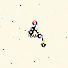 COc1ccc2ncc(CN3CCOCC3)c([C@H](F)CCC3(C(=O)O)CCN(CCSC4CCCC4)CC3)c2c1